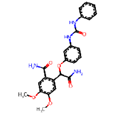 COc1cc(C(N)=O)c(C(Oc2cccc(NC(=O)Nc3ccccc3)c2)C(N)=O)cc1OC